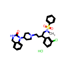 CN(CC(CCN1CCC(N2C(=O)NCc3ccccc32)CC1)c1cccc(Cl)c1)S(=O)(=O)c1ccccc1.Cl